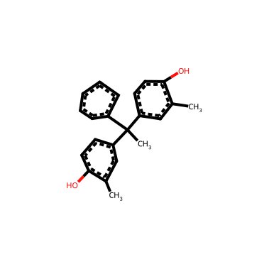 Cc1cc(C(C)(c2ccccc2)c2ccc(O)c(C)c2)ccc1O